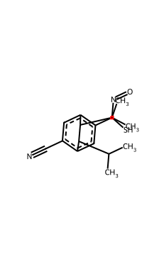 CC(C)C1c2cc(C(S)N=O)c(cc2C#N)C1C(C)C